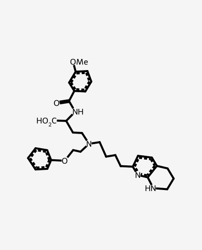 COc1cccc(C(=O)NC(CCN(CCCCc2ccc3c(n2)NCCC3)CCOc2ccccc2)C(=O)O)c1